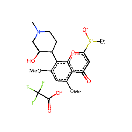 CC[S+]([O-])c1cc(=O)c2c(OC)cc(OC)c(C3CCN(C)CC3O)c2o1.O=C(O)C(F)(F)F